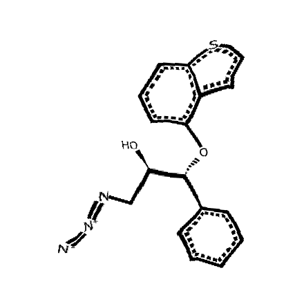 [N-]=[N+]=NC[C@@H](O)[C@H](Oc1cccc2sccc12)c1ccccc1